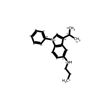 CCCNc1ccc2c(c1)c(C(C)C)cn2-c1ccccc1